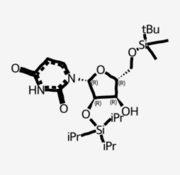 CC(C)[Si](O[C@@H]1[C@H](O)[C@@H](CO[Si](C)(C)C(C)(C)C)O[C@H]1n1ccc(=O)[nH]c1=O)(C(C)C)C(C)C